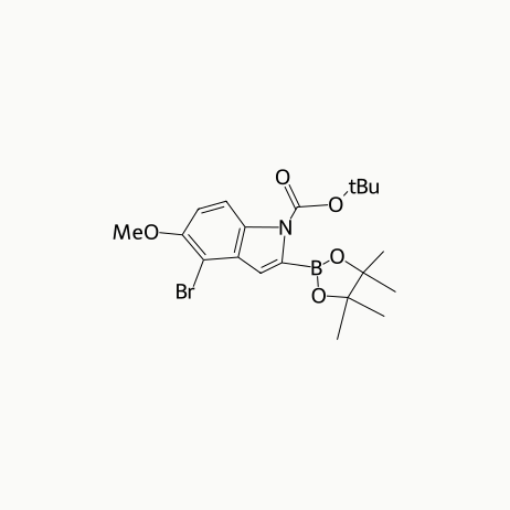 COc1ccc2c(cc(B3OC(C)(C)C(C)(C)O3)n2C(=O)OC(C)(C)C)c1Br